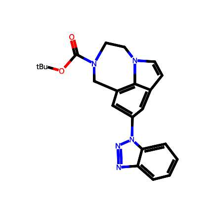 CC(C)(C)OC(=O)N1CCn2ccc3cc(-n4nnc5ccccc54)cc(c32)C1